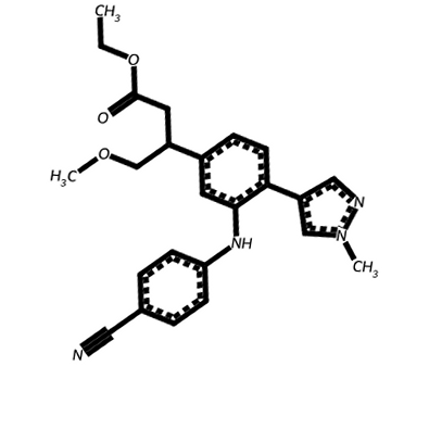 CCOC(=O)CC(COC)c1ccc(-c2cnn(C)c2)c(Nc2ccc(C#N)cc2)c1